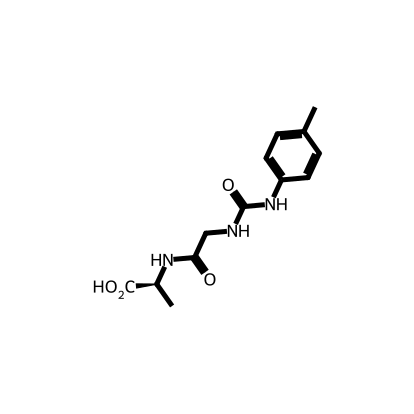 Cc1ccc(NC(=O)NCC(=O)N[C@@H](C)C(=O)O)cc1